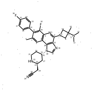 Cc1cc2c(nc(N3CC(C)(N(C)C)C3)c3ncn([C@H]4CCN[C@H](CC#N)C4)c32)c(F)c1-c1ccc(F)cc1